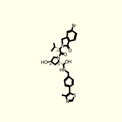 Cc1ncsc1-c1ccc(CNC(O)[C@@H]2C[C@@H](O)CN2C(=O)[C@H](C(C)C)N2Cc3cc(Br)ccc3C2=O)cc1